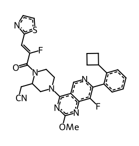 COc1nc(N2CCN(C(=O)/C(F)=C/c3nccs3)C(CC#N)C2)c2cnc(-c3ccccc3C3CCC3)c(F)c2n1